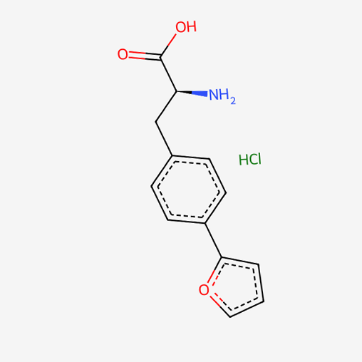 Cl.N[C@@H](Cc1ccc(-c2ccco2)cc1)C(=O)O